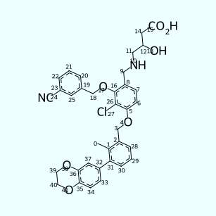 Cc1c(COc2ccc(CNCC(O)CC(=O)O)c(OCc3cccc(C#N)c3)c2Cl)cccc1-c1ccc2c(c1)OCCO2